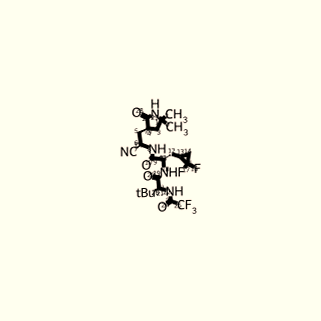 CC1(C)C[C@@H](C[C@@H](C#N)NC(=O)[C@H](CC2CC2(F)F)NC(=O)[C@@H](NC(=O)C(F)(F)F)C(C)(C)C)C(=O)N1